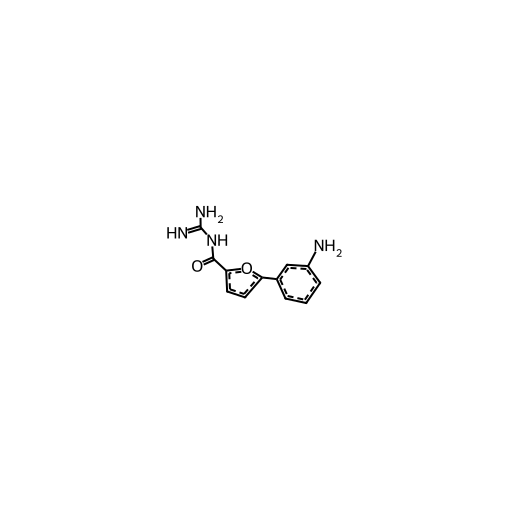 N=C(N)NC(=O)c1ccc(-c2cccc(N)c2)o1